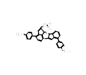 CCC(C)C1=Cc2c(-c3ccc(C(C)(C)C)cc3)cccc2[CH]1[Zr]([CH]1C(C)=Cc2c(-c3ccc(C(C)(C)C)cc3)cccc21)[SiH](C)C